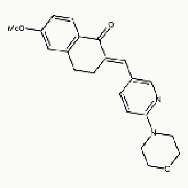 COc1ccc2c(c1)CCC(=Cc1ccc(N3CCOCC3)nc1)C2=O